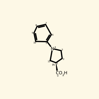 O=C(O)[C@@H]1CCN(c2ccccc2)C1